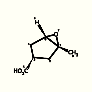 C[C@@]12C[C@H](C(=O)O)C[C@@H]1O2